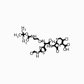 CC(C)(C)OC(=O)NCCO/N=C(/C(=O)NC1C(=O)N2C(C(=O)O)=C(Cl)CS[C@H]12)c1csc(NC=O)n1